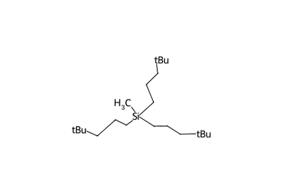 CC(C)(C)CCC[Si](C)(CCCC(C)(C)C)CCCC(C)(C)C